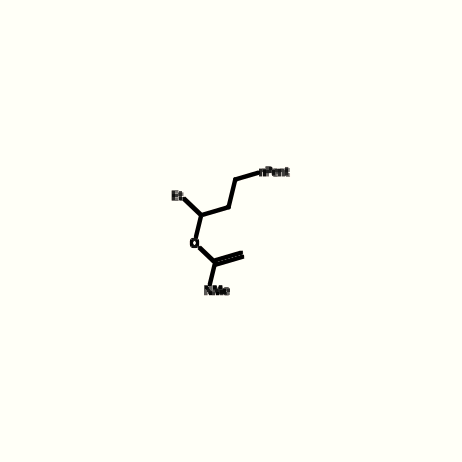 C=C(NC)OC(CC)CCCCCCC